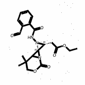 CCOC(=O)C[C@H]1N(NC(=O)c2ccccc2C=O)[C@]12C1N2C(=O)OCC1(C)C